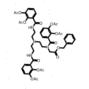 CC(=O)Oc1cccc(C(=O)NCCN(CCNC(=O)c2cccc(OC(C)=O)c2OC(C)=O)CCN(CC(=O)OCc2ccccc2)C(=O)c2cccc(OC(C)=O)c2OC(C)=O)c1OC(C)=O